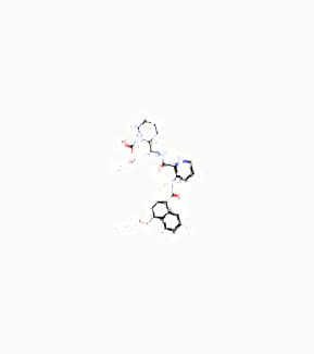 CCOCc1ccc(C(=O)Nc2cccnc2C(=O)NCC2CCCCN2C(=O)OC(C)(C)C)c2ccccc12